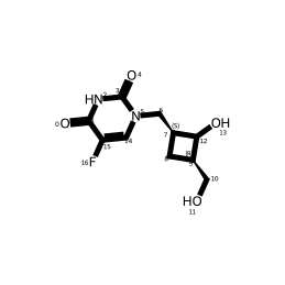 O=c1[nH]c(=O)n(C[C@@H]2C[C@H](CO)C2O)cc1F